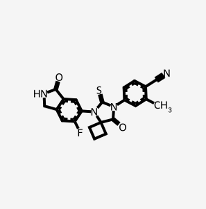 Cc1cc(N2C(=O)C3(CCC3)N(c3cc4c(cc3F)CNC4=O)C2=S)ccc1C#N